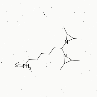 CC1C(C)N1C(CCCCC[PH2]=S)N1C(C)C1C